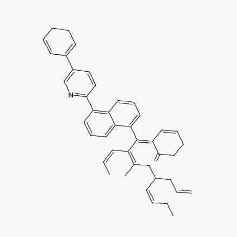 C=CCC(/C=C\CC)C/C(C)=C(/C=C\C)C(=C1\C=CCCC1=C)\c1cccc2c(-c3ccc(C4=CCCC=C4)cn3)cccc12